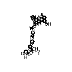 CCc1c(F)ccc2cc(O)cc(-c3ncc4c(N5CC6CCC(C5)N6)nc(OCC5(CN6CCC7(CC6)CC(F)(CN6CCN(c8ccc9c(c8)C(C)(C)C(=O)N9C8CCC(=O)NC8=O)CC6)C7)CC5)nc4c3F)c12